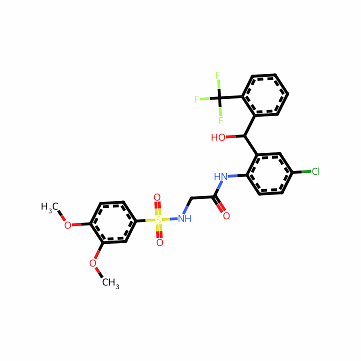 COc1ccc(S(=O)(=O)NCC(=O)Nc2ccc(Cl)cc2C(O)c2ccccc2C(F)(F)F)cc1OC